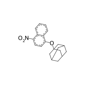 O=[N+]([O-])c1ccc(OC23CC4CC(CC(C4)C2)C3)c2ccccc12